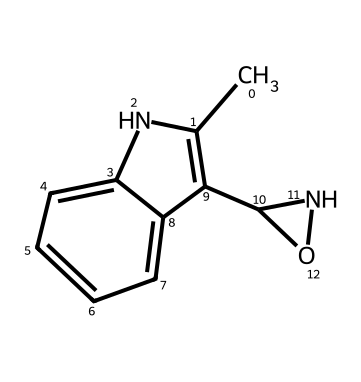 Cc1[nH]c2ccccc2c1C1NO1